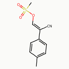 Cc1ccc(C(C#N)=COS(C)(=O)=O)cc1